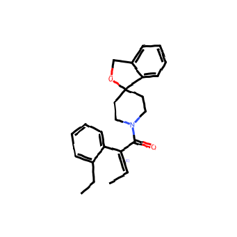 C/C=C(/C(=O)N1CCC2(CC1)OCc1ccccc12)c1ccccc1CC